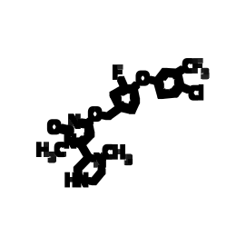 CN1CCNCC1c1cc(OCc2ccc(Oc3ccc(Cl)c(C(F)(F)F)c3)c(F)c2)nc(=O)n1C